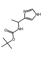 CC(NC(=O)OC(C)(C)C)c1c[nH]cn1